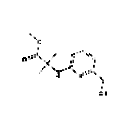 COC(=O)C(C)(C)Nc1cccc(CO)n1